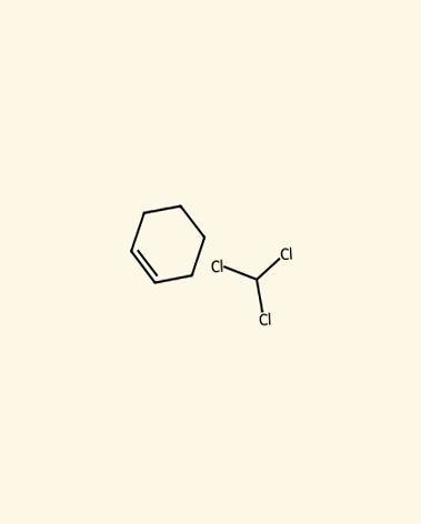 C1=CCCCC1.ClC(Cl)Cl